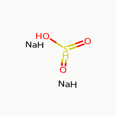 O=[SH](=O)O.[NaH].[NaH]